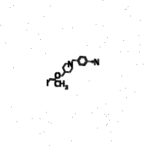 C/C(=C\I)OCC1CCN(Cc2ccc(C#N)cc2)CC1